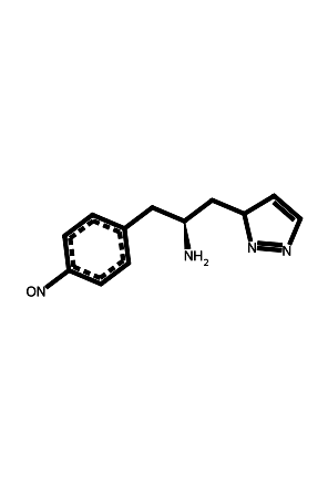 N[C@@H](Cc1ccc(N=O)cc1)CC1C=CN=N1